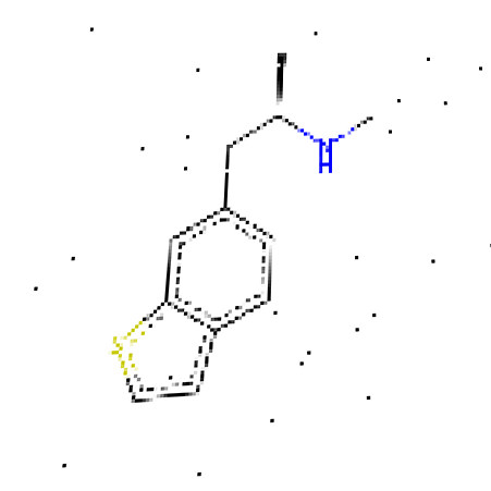 CN[C@H](C)Cc1ccc2ccsc2c1